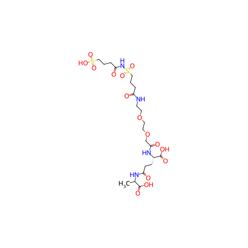 CC(NC(=O)CC[C@H](NC(=O)COCCOCCNC(=O)CCCS(=O)(=O)NC(=O)CCCS(=O)(=O)O)C(=O)O)C(=O)O